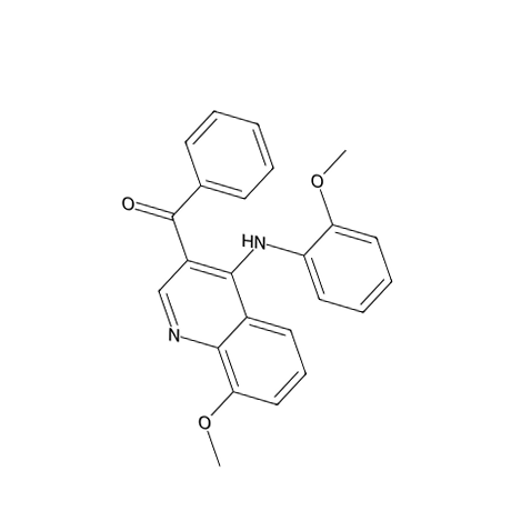 COc1ccccc1Nc1c(C(=O)c2ccccc2)cnc2c(OC)cccc12